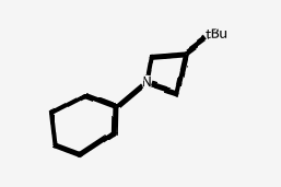 CC(C)(C)C1CN(C2CCCCC2)C1